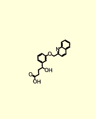 O=C(O)CCC(O)c1cccc(OCc2ccc3ccccc3n2)c1